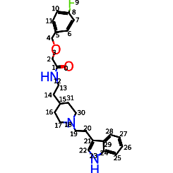 O=C(COCc1ccc(F)cc1)NCCC1CCN(CCc2c[nH]c3ccccc23)CC1